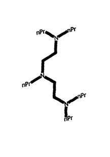 CCCN(CCC)CCN(CCC)CCN(CCC)CCC